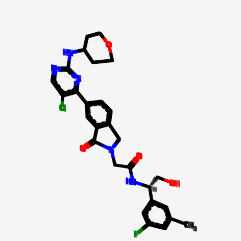 Cc1cc(F)cc([C@@H](CO)NC(=O)CN2Cc3ccc(-c4nc(NC5CCOCC5)ncc4Cl)cc3C2=O)c1